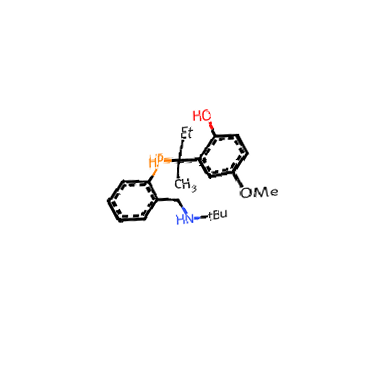 CCC(C)(Pc1ccccc1CNC(C)(C)C)c1cc(OC)ccc1O